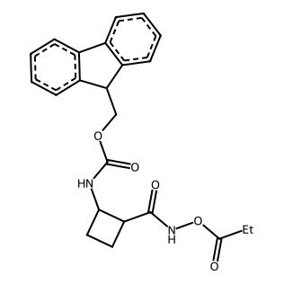 CCC(=O)ONC(=O)C1CCC1NC(=O)OCC1c2ccccc2-c2ccccc21